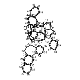 CC1/C=C\C=C/C\C=C/C=C1/C1=C\CC(C)\C(c2cc(C3CCc4cc5ccccc5cc4-c4ccccc43)cc3oc4cc5ccccc5cc4c23)=N/C(c2ccccc2)=N\1